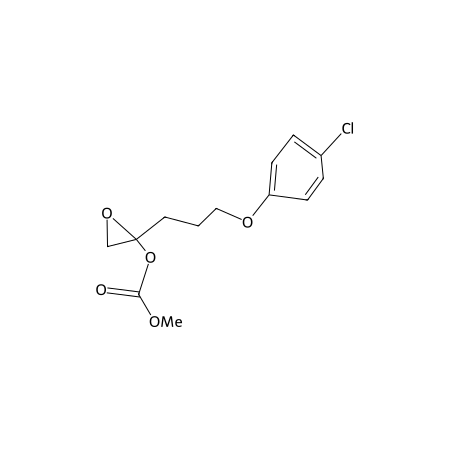 COC(=O)OC1(CCCOc2ccc(Cl)cc2)CO1